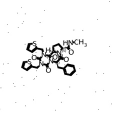 CNC(=O)[C@@H]1CC[C@H]2N1C(=O)[C@@H](Cc1ccccc1)N1C(=O)N(Cc3cccs3)C(=O)N(Cc3cccs3)[C@]21O